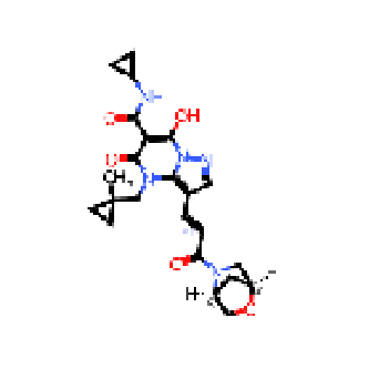 CC1(Cn2c(=O)c(C(=O)NC3CC3)c(O)n3ncc(/C=C/C(=O)N4C[C@@H]5C[C@H]4CO5)c23)CC1